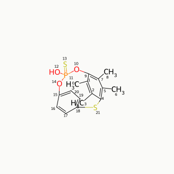 Cc1c(C)c2c(C)c(C)c1OP(O)(=S)Oc1ccc(cc1)S2